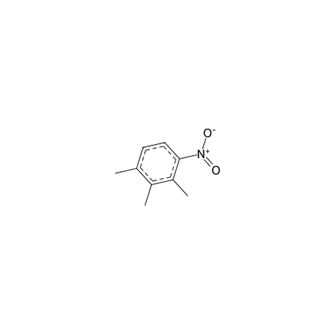 Cc1ccc([N+](=O)[O-])c(C)c1C